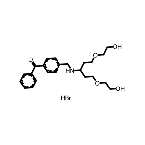 Br.O=C(c1ccccc1)c1ccc(CNC(CCOCCO)CCOCCO)cc1